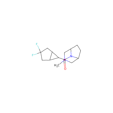 CN1CC2CCC(C1)N2C(=O)C1C2CC(F)(F)CC21